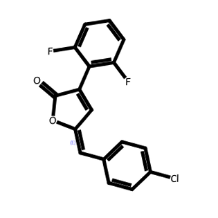 O=C1O/C(=C/c2ccc(Cl)cc2)C=C1c1c(F)cccc1F